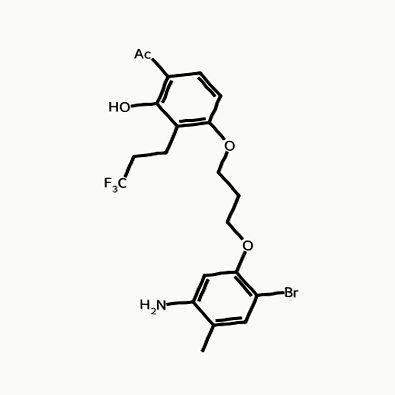 CC(=O)c1ccc(OCCCOc2cc(N)c(C)cc2Br)c(CCC(F)(F)F)c1O